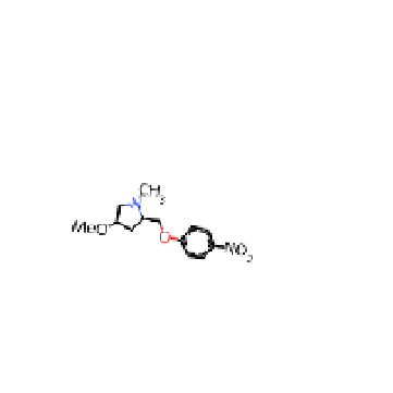 COC1C[C@H](COc2ccc([N+](=O)[O-])cc2)N(C)C1